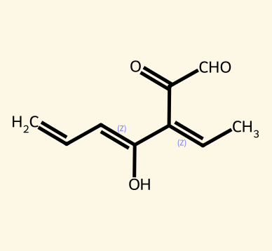 C=C/C=C(O)/C(=C/C)C(=O)C=O